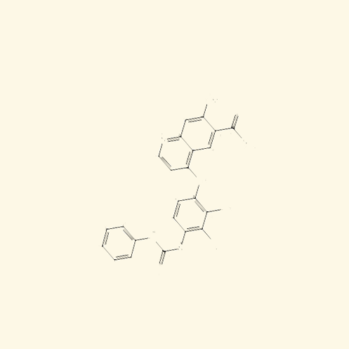 COc1cc2nccc(Oc3ccc(NC(=O)Oc4ccccc4)c(Cl)c3F)c2cc1C(N)=O